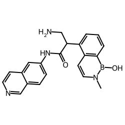 CN1C=Cc2c(cccc2C(CN)C(=O)Nc2ccc3cnccc3c2)B1O